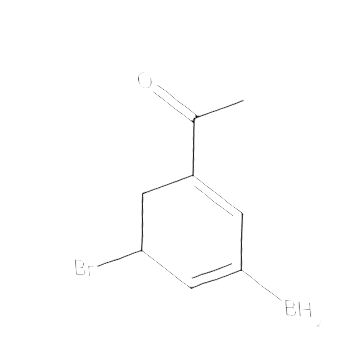 BC1=CC(Br)CC(C(C)=O)=C1